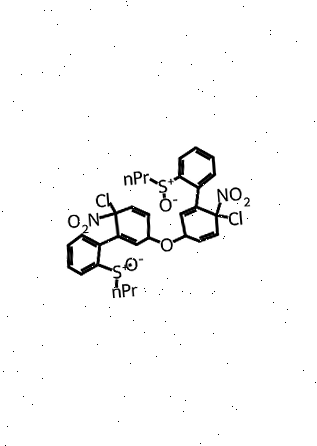 CCC[S+]([O-])c1ccccc1C1=CC(OC2C=CC(Cl)([N+](=O)[O-])C(c3ccccc3[S+]([O-])CCC)=C2)C=CC1(Cl)[N+](=O)[O-]